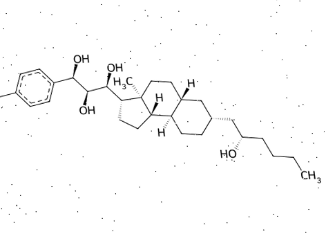 CCCC[C@H](O)C[C@@H]1CC[C@@H]2[C@H](CC[C@]3(C)[C@@H]([C@H](O)[C@@H](O)[C@H](O)c4ccc(F)cc4)CC[C@@H]23)C1